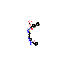 O=C(Cc1ccccc1)Nc1ccc(CCCCc2nnc(NC(=O)C(OCCO)c3ccc(-c4ccccc4)cc3)s2)nn1